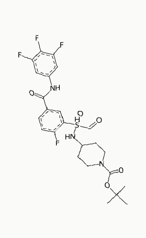 CC(C)(C)OC(=O)N1CCC(N[SH](=O)(C=O)c2cc(C(=O)Nc3cc(F)c(F)c(F)c3)ccc2F)CC1